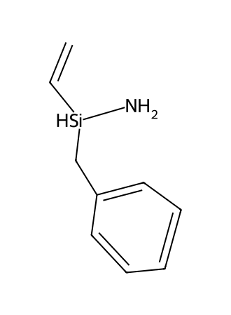 C=C[SiH](N)Cc1ccccc1